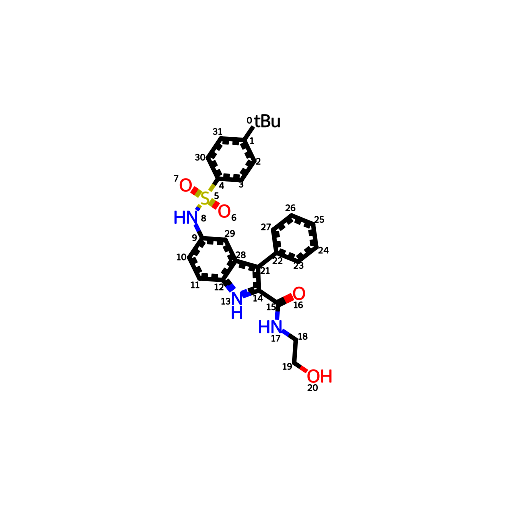 CC(C)(C)c1ccc(S(=O)(=O)Nc2ccc3[nH]c(C(=O)NCCO)c(-c4ccccc4)c3c2)cc1